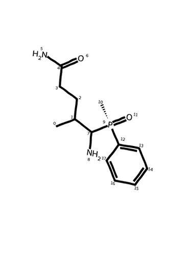 CC(CCC(N)=O)C(N)[P@@](C)(=O)c1ccccc1